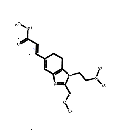 CCOCc1nc2c(n1CCN(CC)CC)CCC(/C=C/C(=O)NO)=C2